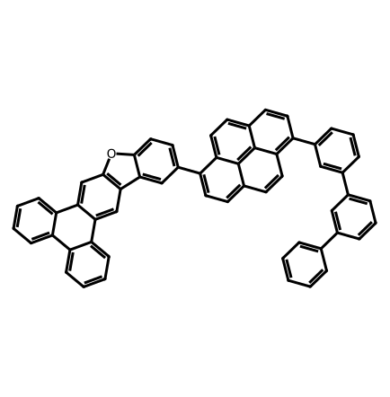 c1ccc(-c2cccc(-c3cccc(-c4ccc5ccc6c(-c7ccc8oc9cc%10c%11ccccc%11c%11ccccc%11c%10cc9c8c7)ccc7ccc4c5c76)c3)c2)cc1